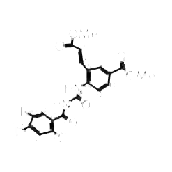 COC(=O)C=Cc1cc(C(=O)OC)ccc1NC(=O)NC(=O)c1cc(F)c(F)cc1Cl